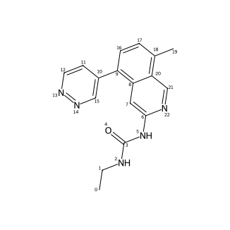 CCNC(=O)Nc1cc2c(-c3ccnnc3)ccc(C)c2cn1